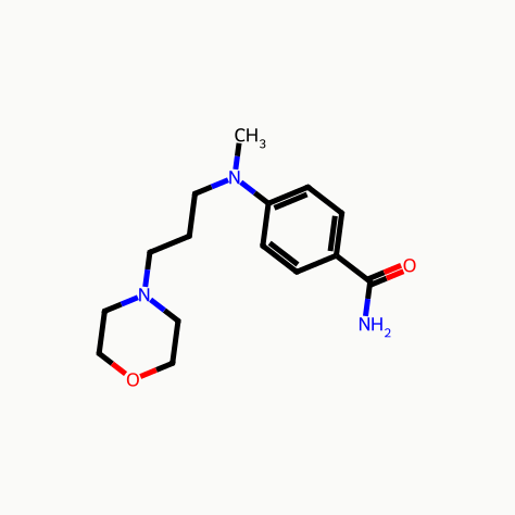 CN(CCCN1CCOCC1)c1ccc(C(N)=O)cc1